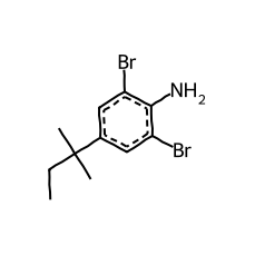 CCC(C)(C)c1cc(Br)c(N)c(Br)c1